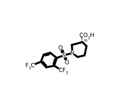 O=C(O)[C@@H]1CCCN(S(=O)(=O)c2ccc(C(F)(F)F)cc2C(F)(F)F)C1